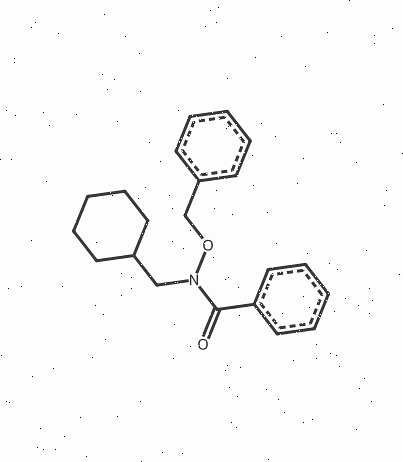 O=C(c1ccccc1)N(CC1CCCCC1)OCc1ccccc1